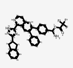 NC(OC(=O)C(F)(F)F)c1ccc(-c2nc3ccnc(-c4nc(C5Cc6ccccc6C5)n[nH]4)c3cc2-c2ccccc2)cc1